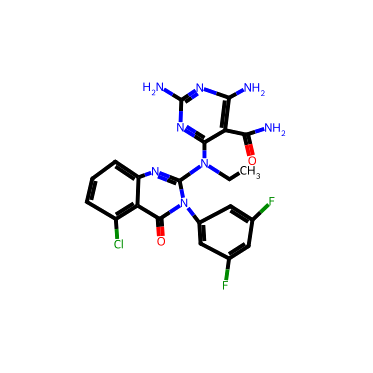 CCN(c1nc(N)nc(N)c1C(N)=O)c1nc2cccc(Cl)c2c(=O)n1-c1cc(F)cc(F)c1